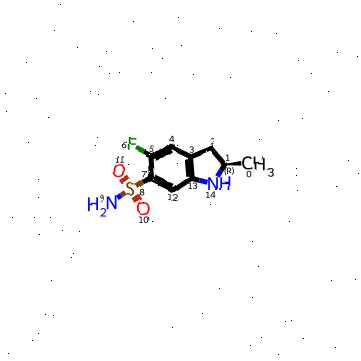 C[C@@H]1Cc2cc(F)c(S(N)(=O)=O)cc2N1